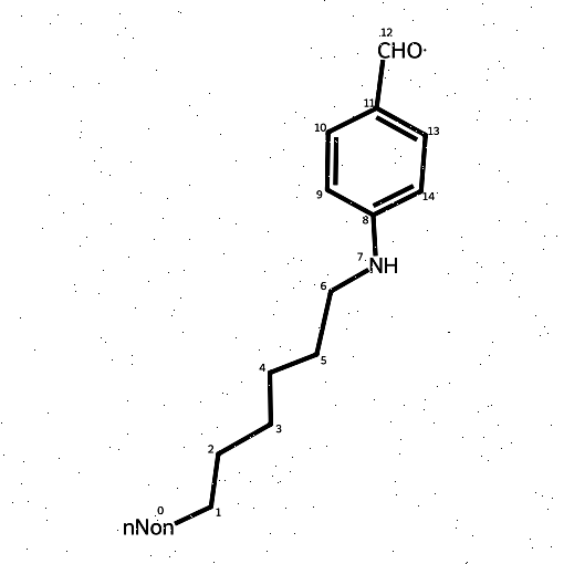 CCCCCCCCCCCCCCCNc1ccc([C]=O)cc1